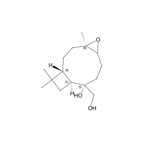 CC1(C)C[C@H]2[C@H]1CC[C@@]1(C)OC1CC[C@@]2(O)CO